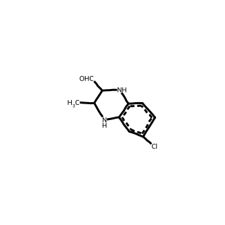 CC1Nc2cc(Cl)ccc2NC1C=O